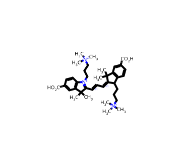 CC1(C)C(/C=C/C=C2/C(CCC[N+](C)(C)C)c3ccc(C(=O)O)cc3C2(C)C)=[N+](CCC[N+](C)(C)C)c2ccc(C(=O)O)cc21